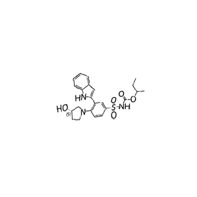 CCC(C)OC(=O)NS(=O)(=O)c1ccc(N2CC[C@H](O)C2)c(-c2cc3ccccc3[nH]2)c1